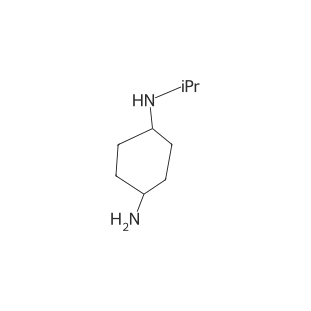 CC(C)NC1CCC(N)CC1